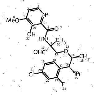 COc1ccnc(C(=O)N[C@](C)(C=O)CO[C@@H](C)[C@H](c2ccc(Cl)cc2F)C(C)C)c1O